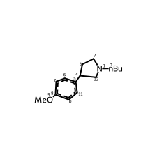 CCCCN1CCC(c2ccc(OC)cc2)C1